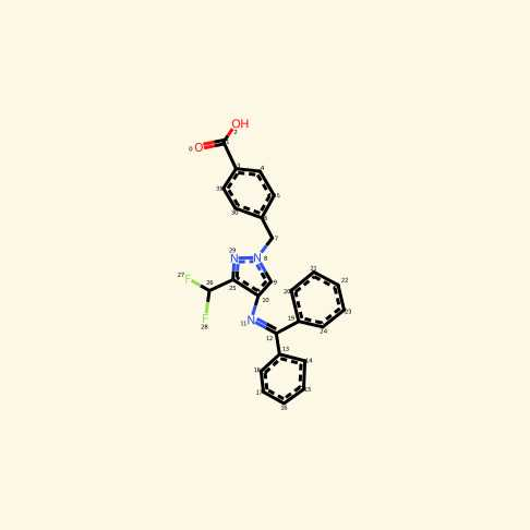 O=C(O)c1ccc(Cn2cc(N=C(c3ccccc3)c3ccccc3)c(C(F)F)n2)cc1